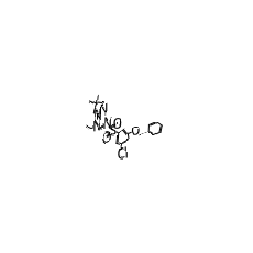 CCN(C=NS(=O)(=O)c1cc(Cl)cc(OCc2ccccc2)c1)N1CC(C)(C)C=N1